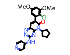 COc1cc(OC)c(Cl)c(-c2cc3nnc(Nc4ccncc4)nc3n(C3CCCC3)c2=O)c1